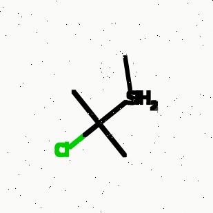 C[SiH2]C(C)(C)Cl